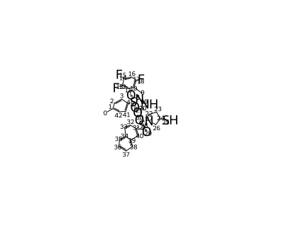 Cc1ccc(S(=O)(=O)N(Cc2cc(F)c(F)cc2F)NC(=O)[C@@H]2C[C@@H](S)CN2S(=O)(=O)c2ccc3ccccc3c2)cc1